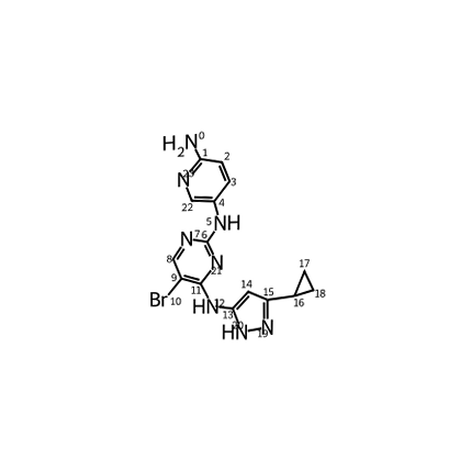 Nc1ccc(Nc2ncc(Br)c(Nc3cc(C4CC4)n[nH]3)n2)cn1